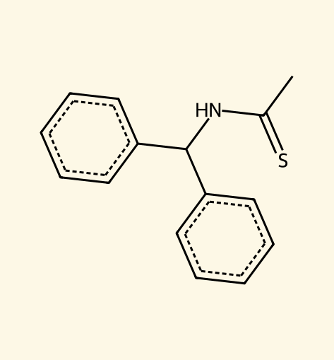 CC(=S)NC(c1ccccc1)c1ccccc1